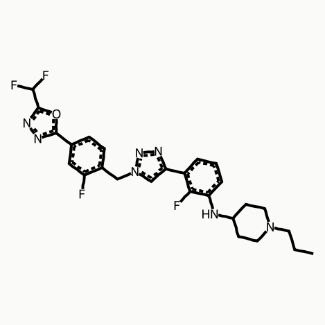 CCCN1CCC(Nc2cccc(-c3cn(Cc4ccc(-c5nnc(C(F)F)o5)cc4F)nn3)c2F)CC1